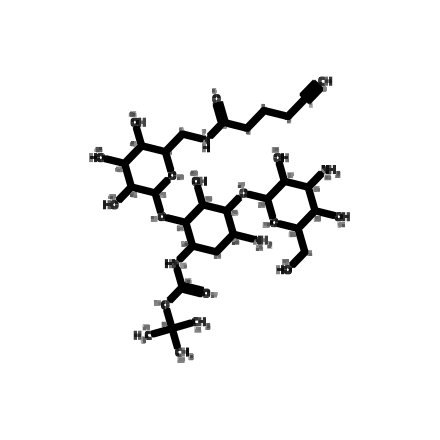 C#CCCCC(=O)NCC1OC(OC2C(NC(=O)OC(C)(C)C)CC(N)C(OC3OC(CO)C(O)C(N)C3O)C2O)C(O)C(O)C1O